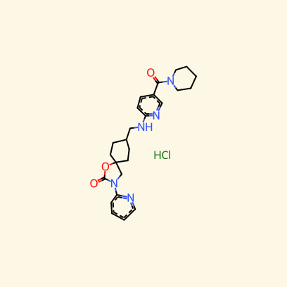 Cl.O=C(c1ccc(NCC2CCC3(CC2)CN(c2ccccn2)C(=O)O3)nc1)N1CCCCC1